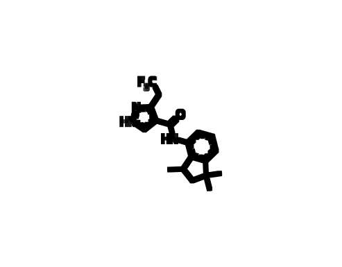 CC1CC(C)(C)c2cccc(NC(=O)c3c[nH]nc3CC(F)(F)F)c21